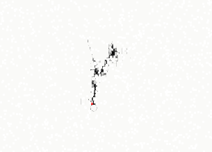 CCCCCCCCCCCCCC(=O)OCCSCC(NC(=O)C1CCC(CN2C(=O)CC(SCC(=O)NCCC3NC4c5cccccccc(c5)C4C3=O)C2=O)CC1)C(=O)NC(CCC(=O)Nc1ccc(Cn2c(O)nc3c(N)nc(NCCCC)nc32)cc1)C(=O)OC